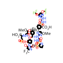 CCS(=O)(=O)c1cccnc1S(=O)(=O)NC(=O)Nc1nc(OC)cc(OC)n1.CCc1ccc(COc2ccc(-n3c(=O)cc(C(F)(F)F)n(C)c3=O)cc2)c(OC(C)C(=O)OC)c1.CP(=O)(O)CCC(N)C(=O)O.O=C(Nc1nc(OC(F)F)cc(OC(F)F)n1)NS(=O)(=O)c1ccccc1C(=O)O